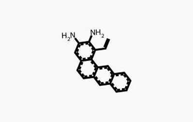 C=Cc1c(N)c(N)cc2ccc3cc4ccccc4cc3c12